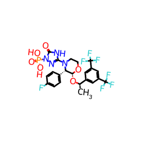 C[C@@H](O[C@H]1OCCN(c2nn(P(=O)(O)O)c(=O)[nH]2)[C@H]1c1ccc(F)cc1)c1cc(C(F)(F)F)cc(C(F)(F)F)c1